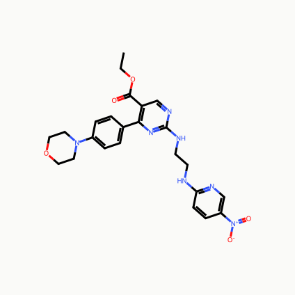 CCOC(=O)c1cnc(NCCNc2ccc([N+](=O)[O-])cn2)nc1-c1ccc(N2CCOCC2)cc1